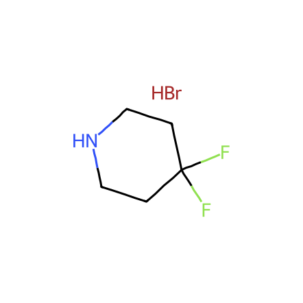 Br.FC1(F)CCNCC1